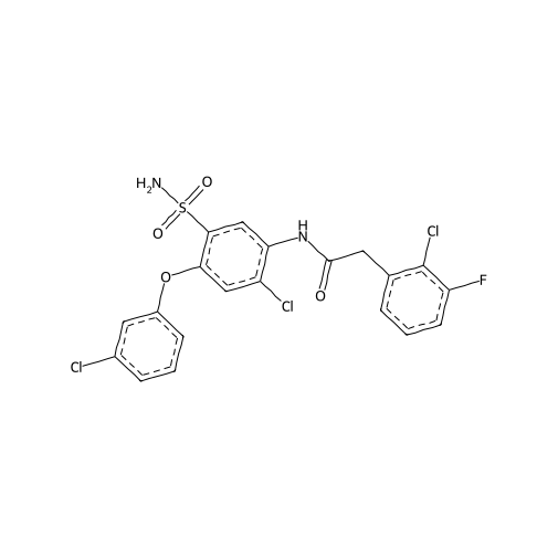 NS(=O)(=O)c1cc(NC(=O)Cc2cccc(F)c2Cl)c(Cl)cc1Oc1cccc(Cl)c1